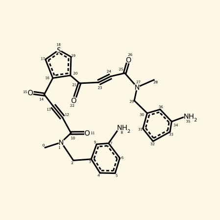 CN(Cc1cccc(N)c1)C(=O)C#CC(=O)c1cscc1C(=O)C#CC(=O)N(C)Cc1cccc(N)c1